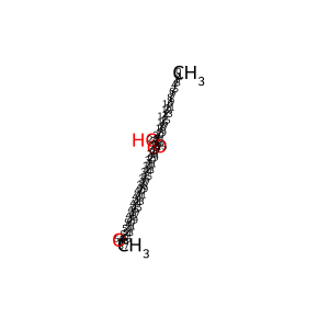 CCCCCCCCCCCCCCCCCCCCCCC(O)C(=O)OCCCCCCCCCCCCCCCCCCCCCCCCCCCCCC(C)=O